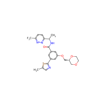 Cc1cnc(-c2cc(OC[C@@H]3COCCO3)cc(C(=O)NC(C)c3ccc(C(F)(F)F)nn3)c2)s1